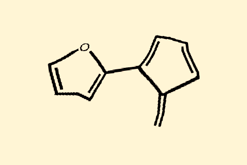 C=C1C=CC=C1c1ccco1